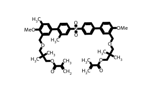 C=C(C)C(=O)OCC(C)(C)COCc1cc(-c2ccc(S(=O)(=O)c3ccc(-c4cc(C)c(OC)c(COCC(C)(C)COC(=O)C(=C)C)c4)c(C)c3)cc2)ccc1OC